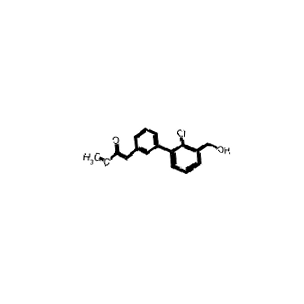 COC(=O)Cc1cccc(-c2cccc(CO)c2Cl)c1